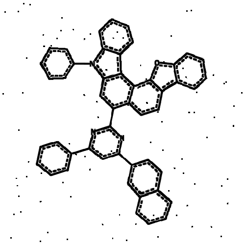 c1ccc(-c2cc(-c3ccc4ccccc4c3)nc(-c3cc4c(c5ccccc5n4-c4ccccc4)c4c3ccc3c5ccccc5oc34)n2)cc1